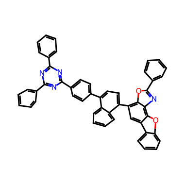 c1ccc(-c2nc(-c3ccccc3)nc(-c3ccc(-c4ccc(-c5cc6c7ccccc7oc6c6nc(-c7ccccc7)oc56)c5ccccc45)cc3)n2)cc1